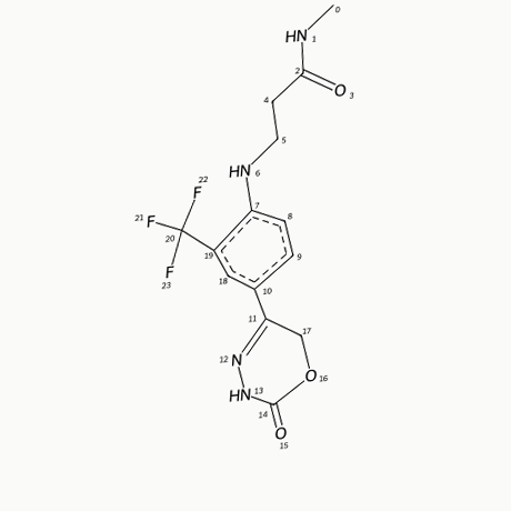 CNC(=O)CCNc1ccc(C2=NNC(=O)OC2)cc1C(F)(F)F